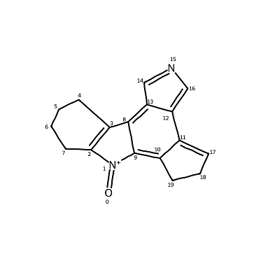 O=[N+]1C2=C(CCCC2)c2c1c1c(c3c2C=NC=3)=CCC1